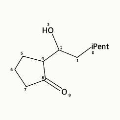 CCCC(C)CC(O)C1CCCC1=O